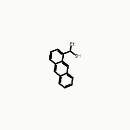 CCC(S)c1cccc2cc3ccccc3cc12